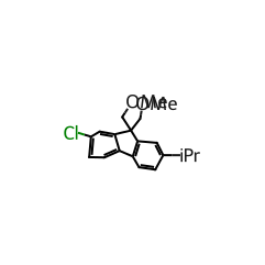 COCC1(COC)c2cc(Cl)ccc2-c2ccc(C(C)C)cc21